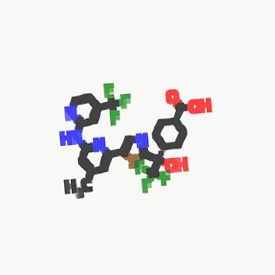 Cc1cc(Nc2cc(C(F)(F)F)ccn2)nc(-c2cnc(C(O)([C@H]3CC[C@H](C(=O)O)CC3)C(F)(F)F)s2)c1